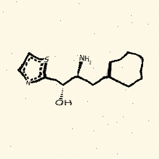 N[C@@H](CC1CCCCC1)[C@H](O)c1nccs1